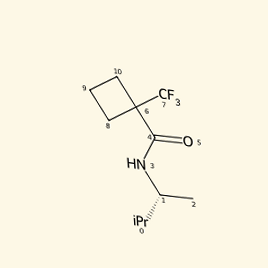 CC(C)[C@@H](C)NC(=O)C1(C(F)(F)F)CCC1